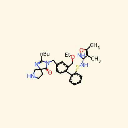 CCCCC1=NC2(CCNC2)C(=O)N1Cc1ccc(-c2ccccc2SN[C@H]2NOC(C)=C2C)c(COCC)c1